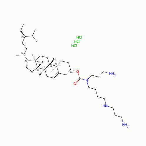 CC[C@H](CC[C@@H](C)[C@H]1CC[C@H]2[C@@H]3CC=C4C[C@@H](OC(=O)N(CCCN)CCCCNCCCN)CC[C@]4(C)[C@H]3CC[C@]12C)C(C)C.Cl.Cl.Cl